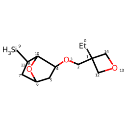 CCC1(COC2CC3CC([SiH3])C2O3)COC1